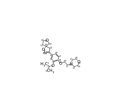 CC(C)Oc1cc(C2=NOC3(CCOC3)C2)ccc1OCCN1CCOCC1